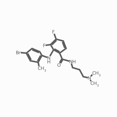 Cc1cc(Br)ccc1Nc1c(C(=O)NCCCN(C)C)ccc(F)c1F